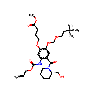 C=CCOC(=O)Nc1cc(OCCCC(=O)OC)c(OCOCC[Si](C)(C)C)cc1C(=O)N1CCCC[C@H]1CO